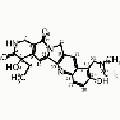 CC[C@@]1(O)C(=O)NCc2c1cc1n(c2=O)Cc2cc3c(CN(C)C)c(O)ccc3nc2-1